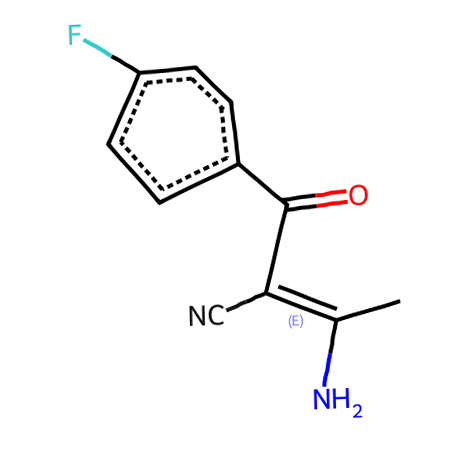 C/C(N)=C(/C#N)C(=O)c1ccc(F)cc1